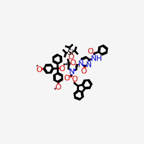 COc1ccc(C(OC[C@]2(CO[Si](C(C)C)(C(C)C)C(C)C)CN(C(=O)OCC3c4ccccc4-c4ccccc43)C[C@H](n3ccc(NC(=O)c4ccccc4)nc3=O)O2)(c2ccccc2)c2ccc(OC)cc2)cc1